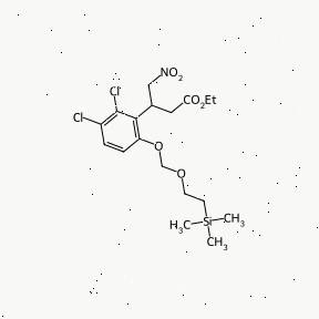 CCOC(=O)CC(C[N+](=O)[O-])c1c(OCOCC[Si](C)(C)C)ccc(Cl)c1Cl